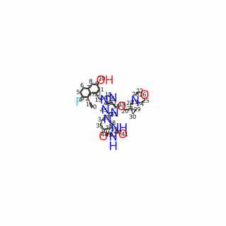 C#Cc1c(F)ccc2cc(O)cc(Cn3cnc4c(OCC5(CN6CCOCC6)CC5)nc(N5CCCC6(C5)NC(=O)NC6=O)nc43)c12